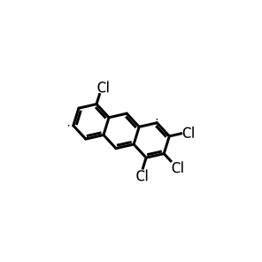 Clc1[c]c2cc3c(Cl)c[c]cc3cc2c(Cl)c1Cl